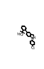 CC(C)(O)c1ccccc1-c1ccc2c(cnn2-c2ccc(Cl)cc2)c1